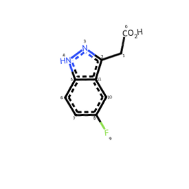 O=C(O)Cc1n[nH]c2ccc(F)cc12